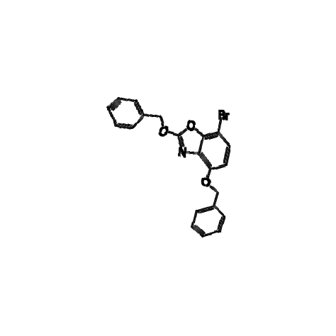 Brc1ccc(OCc2ccccc2)c2nc(OCc3ccccc3)oc12